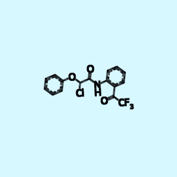 O=C(Nc1ccccc1C(=O)C(F)(F)F)C(Cl)Oc1ccccc1